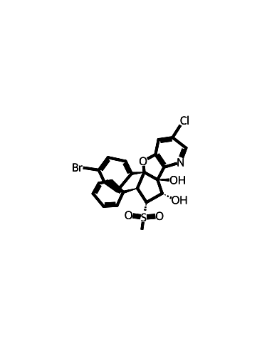 CS(=O)(=O)[C@H]1[C@@H](O)[C@@]2(O)c3ncc(Cl)cc3O[C@@]2(c2ccc(Br)cc2)[C@@H]1c1ccccc1